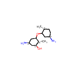 C[C@@H]1CC[C@@H](N)CC1OC1C[C@H](N)C[C@H](O)[C@H]1C